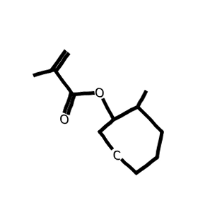 C=C(C)C(=O)OC1CCCCCC1C